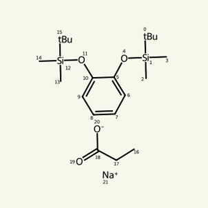 CC(C)(C)[Si](C)(C)Oc1ccccc1O[Si](C)(C)C(C)(C)C.CCC(=O)[O-].[Na+]